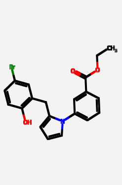 CCOC(=O)c1cccc(-n2cccc2Cc2cc(Br)ccc2O)c1